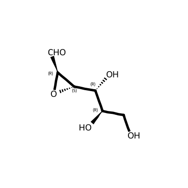 O=C[C@@H]1O[C@H]1[C@H](O)[C@H](O)CO